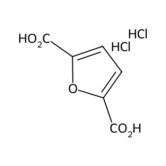 Cl.Cl.O=C(O)c1ccc(C(=O)O)o1